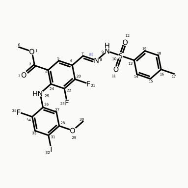 COC(=O)c1cc(/C=N/NS(=O)(=O)c2ccc(C)cc2)c(F)c(F)c1Nc1cc(OC)c(I)cc1F